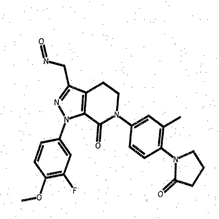 COc1ccc(-n2nc(CN=O)c3c2C(=O)N(c2ccc(N4CCCC4=O)c(C)c2)CC3)cc1F